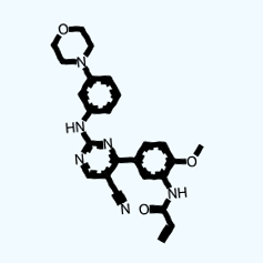 C=CC(=O)Nc1cc(-c2nc(Nc3cccc(N4CCOCC4)c3)ncc2C#N)ccc1OC